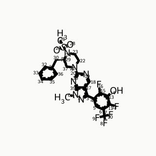 Cn1nc(-c2cc(C(F)(F)F)c(F)c(O)c2F)c2cnc(N3CCN(S(C)(=O)=O)[C@H](Cc4ccccc4)C3)nc21